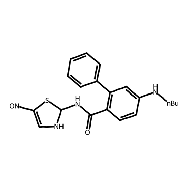 CCCCNc1ccc(C(=O)NC2NC=C(N=O)S2)c(-c2ccccc2)c1